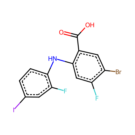 O=C(O)c1cc(Br)c(F)cc1Nc1ccc(I)cc1F